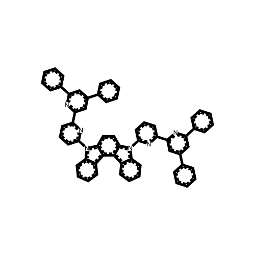 c1ccc(-c2cc(-c3ccccc3)nc(-c3cccc(-n4c5ccccc5c5c6c7ccccc7n(-c7cccc(-c8cc(-c9ccccc9)cc(-c9ccccc9)n8)n7)c6ccc54)n3)c2)cc1